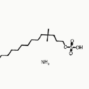 CCCCCCCCCCC(C)(C)CCCOS(=O)(=O)O.N